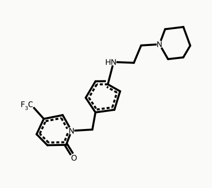 O=c1ccc(C(F)(F)F)cn1Cc1ccc(NCCN2CCCCC2)cc1